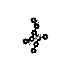 c1ccc(-c2ccc(-c3cc(-c4ccccc4)nc(-c4cc(-c5ccc6sc7ccccc7c6c5)ccc4-c4ccc5sc6ccccc6c5c4)n3)cc2)cc1